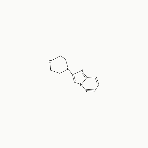 c1cnn2cc(N3CCOCC3)nc2c1